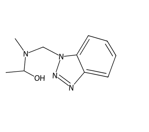 CC(O)N(C)Cn1nnc2ccccc21